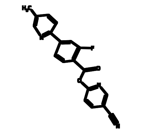 Cc1ccc(-c2ccc(C(=O)Oc3ccc(C#N)cn3)c(F)c2)nc1